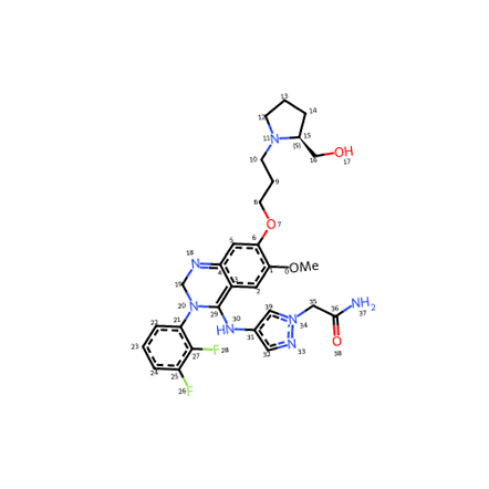 COc1cc2c(cc1OCCCN1CCC[C@H]1CO)=NCN(c1cccc(F)c1F)C=2Nc1cnn(CC(N)=O)c1